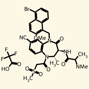 CNC(C)C(=O)N[C@@H]1C(=O)N(Cc2c(OC)ccc3c(Br)cccc23)c2cc(C#N)ccc2N(C(=O)CS(C)(=O)=O)[C@H]1C.O=C(O)C(F)(F)F